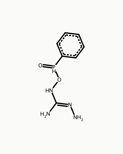 NN=C(N)NO[PH](=O)c1ccccc1